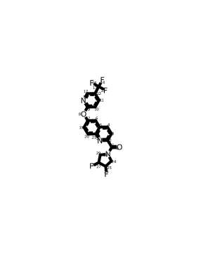 O=C(c1ccc2cc(Oc3ccc(C(F)(F)F)cn3)ccc2n1)N1CC(F)C(F)C1